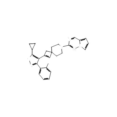 FC(F)(F)c1ccccc1-c1noc(C2CC2)c1C1=CC2(CCN(c3ncc4cccn4n3)CC2)C1